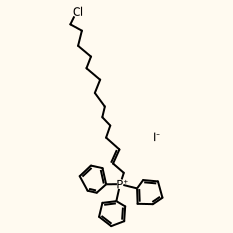 ClCCCCCCCCCCCC=CC[P+](c1ccccc1)(c1ccccc1)c1ccccc1.[I-]